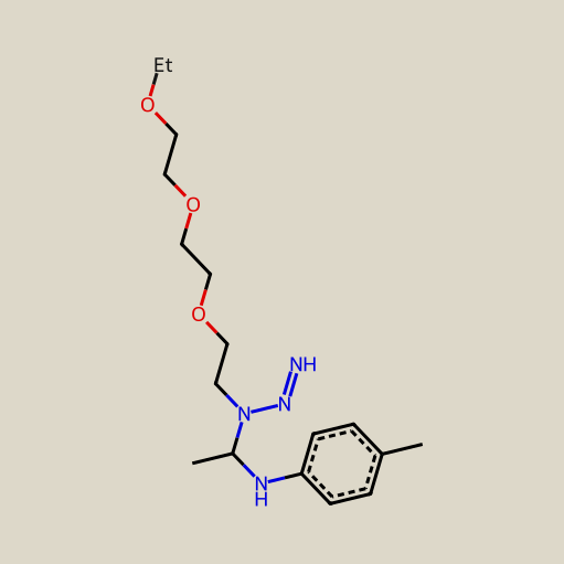 CCOCCOCCOCCN(N=N)C(C)Nc1ccc(C)cc1